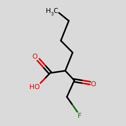 CCCCC(C(=O)O)C(=O)CF